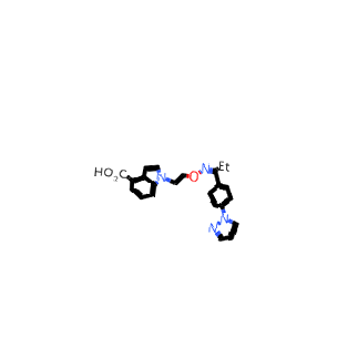 CCC(=NOCCn1ccc2c(C(=O)O)cccc21)c1ccc(-n2cccn2)cc1